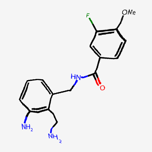 COc1ccc(C(=O)NCc2cccc(N)c2CN)cc1F